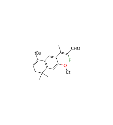 CCOc1cc2c(cc1C(C)=C(F)C=O)C(C(C)(C)C)=CCC2(C)C